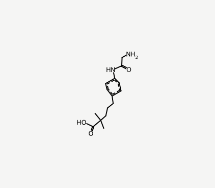 CC(C)(CCCc1ccc(NC(=O)CN)cc1)C(=O)O